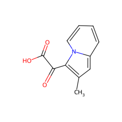 Cc1cc2ccccn2c1C(=O)C(=O)O